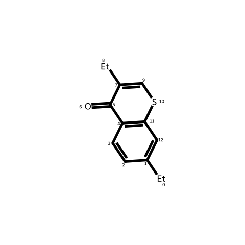 CCc1ccc2c(=O)c(CC)csc2c1